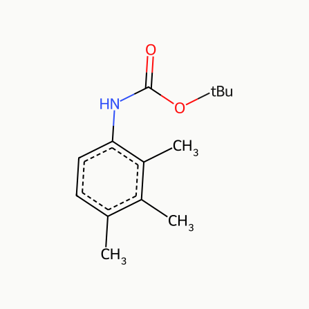 Cc1ccc(NC(=O)OC(C)(C)C)c(C)c1C